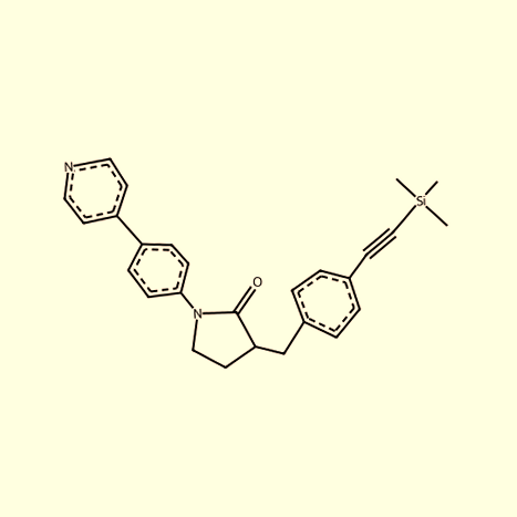 C[Si](C)(C)C#Cc1ccc(CC2CCN(c3ccc(-c4ccncc4)cc3)C2=O)cc1